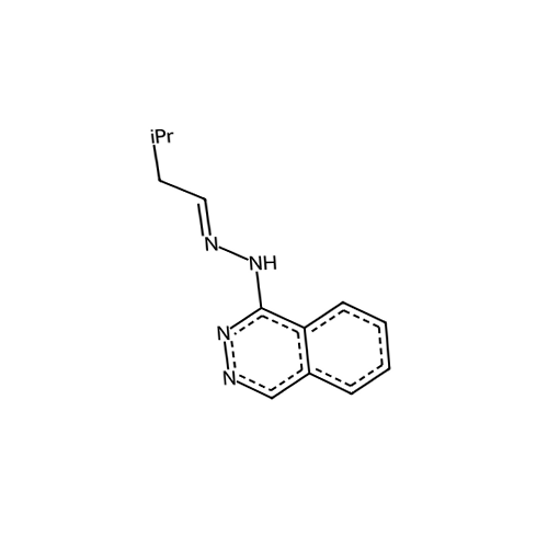 CC(C)C/C=N/Nc1nncc2ccccc12